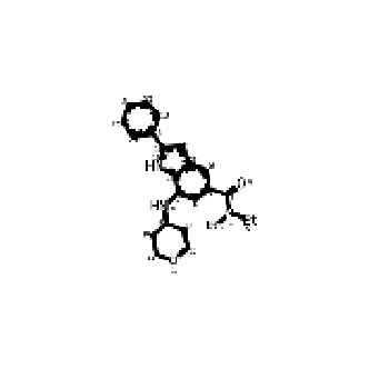 CCN(CC)C(=O)c1cc(NC2CCOCC2)c2[nH]c(-c3ccccc3)cc2c1